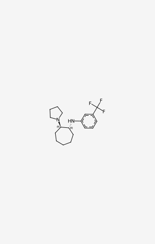 FC(F)(F)c1cccc(N[C@@H]2CCCCC[C@H]2N2CCCC2)c1